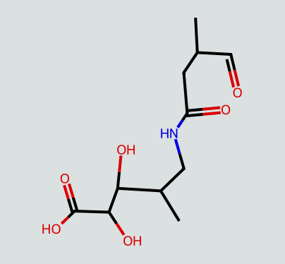 CC(C=O)CC(=O)NCC(C)C(O)C(O)C(=O)O